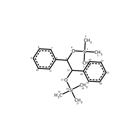 C[Si](C)(C)OC(c1ccccc1)C(O[Si](C)(C)C)c1ccccc1